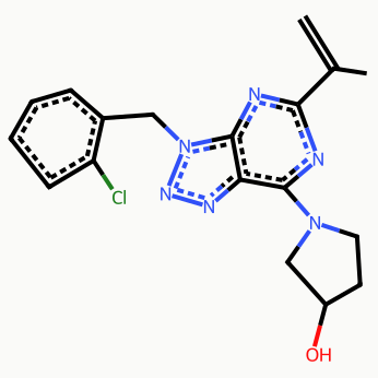 C=C(C)c1nc(N2CCC(O)C2)c2nnn(Cc3ccccc3Cl)c2n1